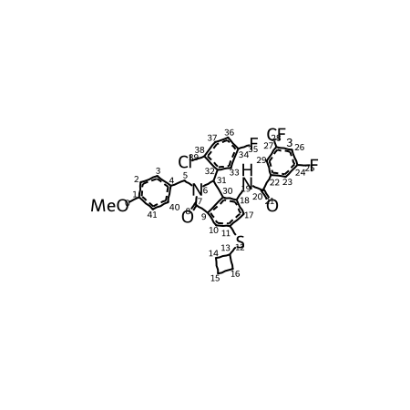 COc1ccc(CN2C(=O)c3cc(SC4CCC4)cc(NC(=O)c4cc(F)cc(C(F)(F)F)c4)c3C2c2cc(F)ccc2Cl)cc1